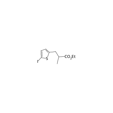 CCOC(=O)C(C)Cc1ccc(I)s1